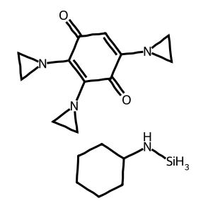 O=C1C=C(N2CC2)C(=O)C(N2CC2)=C1N1CC1.[SiH3]NC1CCCCC1